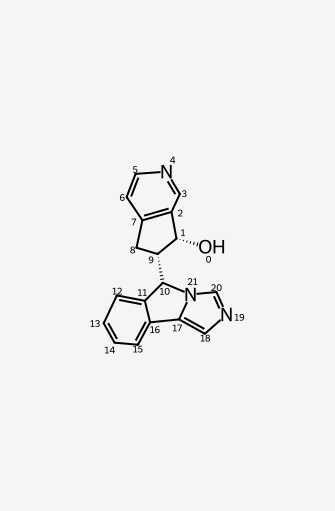 O[C@H]1c2cnccc2C[C@H]1C1c2ccccc2-c2cncn21